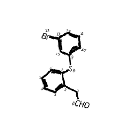 O=CCc1ccccc1Sc1cccc(Br)c1